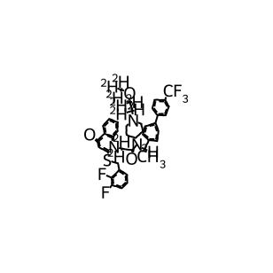 [2H]C([2H])([2H])OC([2H])([2H])C([2H])([2H])N1CCC(N(C(=O)C([2H])([2H])n2c(SCc3cccc(F)c3F)cc(=O)c3ccccc32)C([2H])(C)c2ccc(-c3ccc(C(F)(F)F)cc3)cc2)CC1